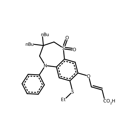 CCCCC1(CCCC)CN(c2ccccc2)c2cc(SCC)c(O/C=C/C(=O)O)cc2S(=O)(=O)C1